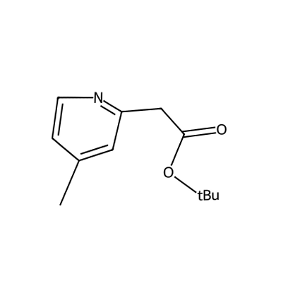 Cc1ccnc(CC(=O)OC(C)(C)C)c1